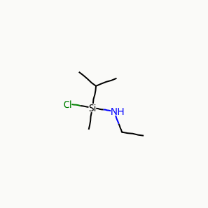 CCN[Si](C)(Cl)C(C)C